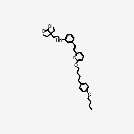 CCCCOc1ccc(CCCCOc2cccc(C=Cc3cccc(NCCC(CC)(CC)C(=O)O)c3)n2)cc1